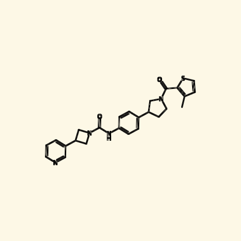 Cc1ccsc1C(=O)N1CCC(c2ccc(NC(=O)N3CC(c4cccnc4)C3)cc2)C1